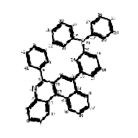 c1ccc(-c2nc3ccccc3c3c2cc(-c2cccc(P(c4ccccc4)c4ccccc4)c2)c2ccccc23)cc1